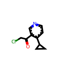 O=C(CCl)c1cnccc1C1CC1